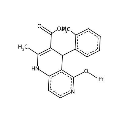 COC(=O)C1=C(C)Nc2ccnc(OC(C)C)c2C1c1ccccc1C(F)(F)F